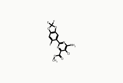 COC(=O)c1nc(-c2cc3c(cc2F)OC(F)(F)O3)nc(N)c1Cl